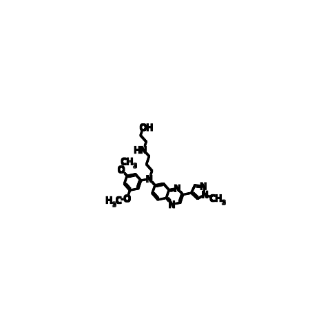 COc1cc(OC)cc(N(CCCNCCO)c2ccc3ncc(-c4cnn(C)c4)nc3c2)c1